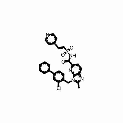 Cc1nc2ccc(C(=O)NS(=O)(=O)C=Cc3ccncc3)nc2n1Cc1ccc(-c2ccccc2)cc1Cl